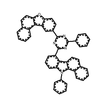 c1ccc(-c2nc(-c3ccc4oc5ccc6ccccc6c5c4c3)nc(-c3cccc4c3c3ccc5ccccc5c3n4-c3ccccc3)n2)cc1